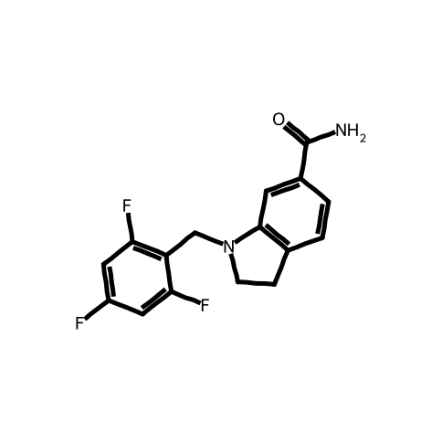 NC(=O)c1ccc2c(c1)N(Cc1c(F)cc(F)cc1F)CC2